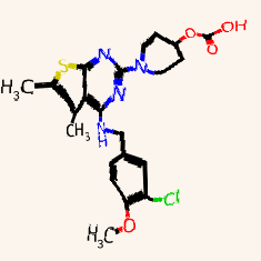 COc1ccc(CNc2nc(N3CCC(OC(=O)O)CC3)nc3sc(C)c(C)c23)cc1Cl